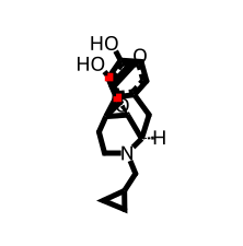 O=C1O[C@@]23CCC1(O)CC21CCN(CC2CC2)[C@@H]3Cc2ccc(O)cc21